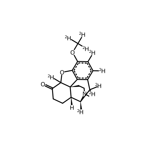 [2H]c1c([2H])c2c3c(c1OC([2H])([2H])[2H])OC1([2H])C(=O)CC[C@@H]4[C@@]31CCN(C)[C@]4([2H])C2([2H])[2H]